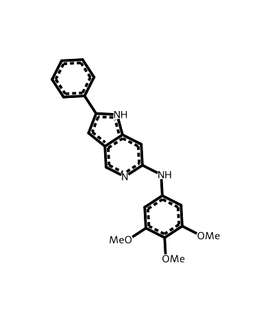 COc1cc(Nc2cc3[nH]c(-c4ccccc4)cc3cn2)cc(OC)c1OC